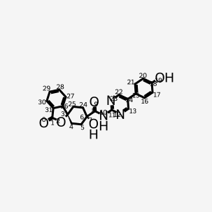 O=C1O[C@]2(CC[C@@](O)(C(=O)Nc3ncc(-c4ccc(O)cc4)cn3)CC2)c2ccccc21